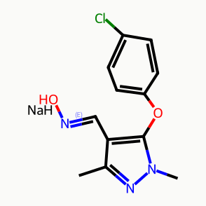 Cc1nn(C)c(Oc2ccc(Cl)cc2)c1/C=N/O.[NaH]